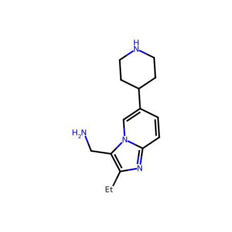 CCc1nc2ccc(C3CCNCC3)cn2c1CN